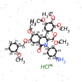 COC(=O)c1c(-c2cc(OC)c(OC)c(OC)c2)c2cc(OC)c(OCc3ccccc3OC)cc2c(=O)n1-c1ccc(N)cc1.Cl